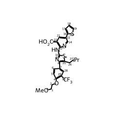 COCCOc1ccc(-c2nc(Nc3ncc(-c4cccs4)cc3C(=O)O)sc2CC(C)C)cc1C(F)(F)F